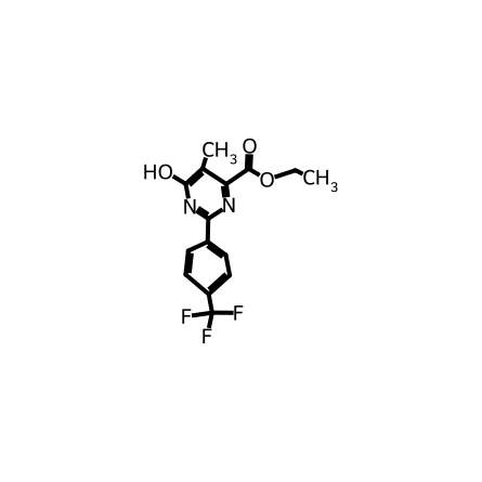 CCOC(=O)c1nc(-c2ccc(C(F)(F)F)cc2)nc(O)c1C